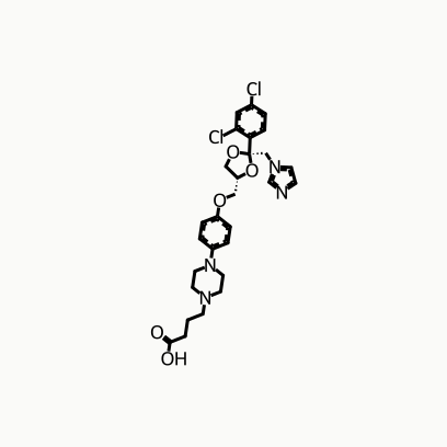 O=C(O)CCCN1CCN(c2ccc(OC[C@@H]3CO[C@@](Cn4ccnc4)(c4ccc(Cl)cc4Cl)O3)cc2)CC1